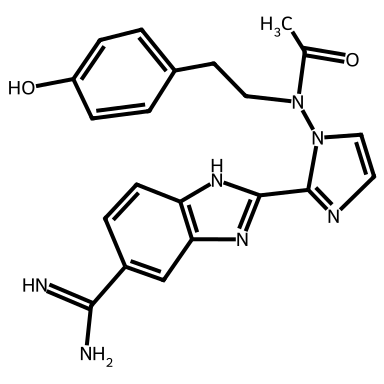 CC(=O)N(CCc1ccc(O)cc1)n1ccnc1-c1nc2cc(C(=N)N)ccc2[nH]1